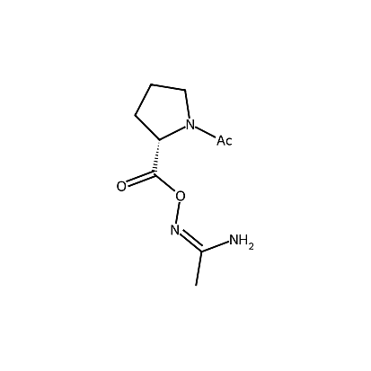 CC(=O)N1CCC[C@H]1C(=O)ON=C(C)N